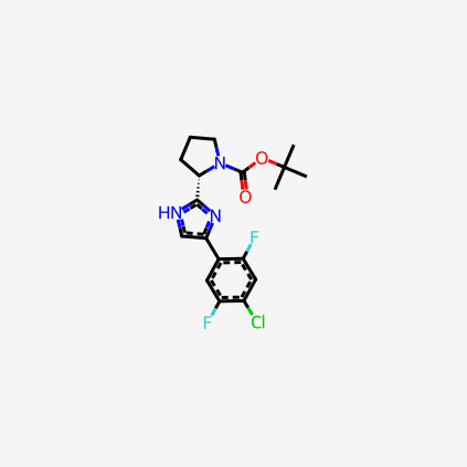 CC(C)(C)OC(=O)N1CCC[C@H]1c1nc(-c2cc(F)c(Cl)cc2F)c[nH]1